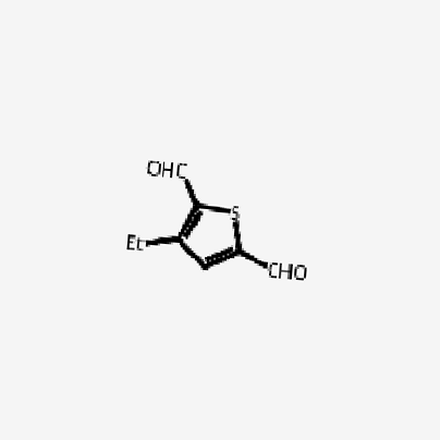 CCc1cc(C=O)sc1C=O